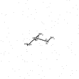 CC(O)NCCCCCCCC(=O)NC(CCCCN)C(=O)NCCCCCCCC(=O)NC(C)CCCCN